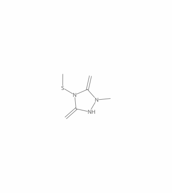 C=C1NN(C)C(=C)N1SC